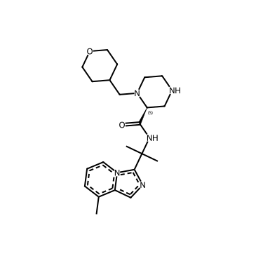 Cc1cccn2c(C(C)(C)NC(=O)[C@@H]3CNCCN3CC3CCOCC3)ncc12